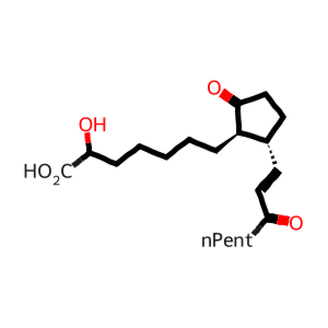 CCCCCC(=O)C=C[C@H]1CCC(=O)[C@@H]1CCCCCC(O)C(=O)O